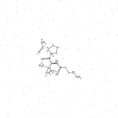 COCCC(=O)N[C@H](C(=O)N1CCC[C@H]1C(C)=O)C(C)(C)C